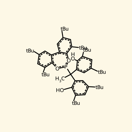 CC(C)(C)c1cc(C(C)(C)C)c(O)c(C(C)(c2cc(C(C)(C)C)cc(C(C)(C)C)c2O)p2oc3c(C(C)(C)C)cc(C(C)(C)C)cc3c3cc(C(C)(C)C)cc(C(C)(C)C)c3o2)c1